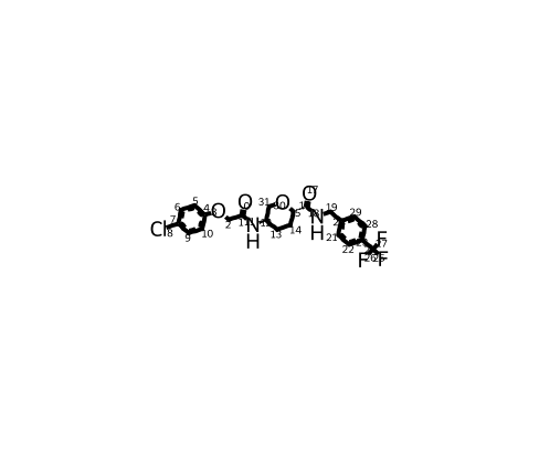 O=C(COc1ccc(Cl)cc1)N[C@@H]1CC[C@@H](C(=O)NCc2ccc(C(F)(F)F)cc2)OC1